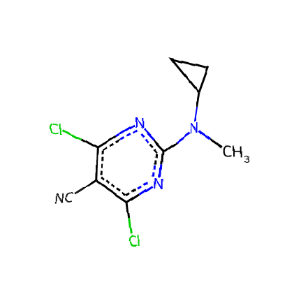 CN(c1nc(Cl)c(C#N)c(Cl)n1)C1CC1